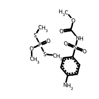 COC(=O)NS(=O)(=O)c1ccc(N)cc1.COP(=O)(SC)SC